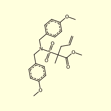 C=CCC(C)(C(=O)OC)S(=O)(=O)N(Cc1ccc(OC)cc1)Cc1ccc(OC)cc1